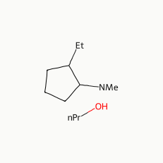 CCC1CCCC1NC.CCCO